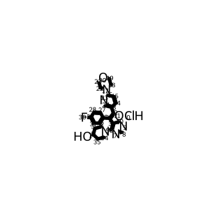 Cl.OC1CCN(c2ncnc3oc(-c4ccc(N5CCOCC5)nc4)c(-c4ccc(F)cc4)c23)CC1